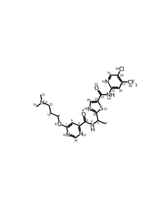 CC(NC(=O)c1cc(OCCCN(C)C)ncn1)c1ncc(C(=O)Nc2cc(C(F)(F)F)c(Cl)cn2)s1